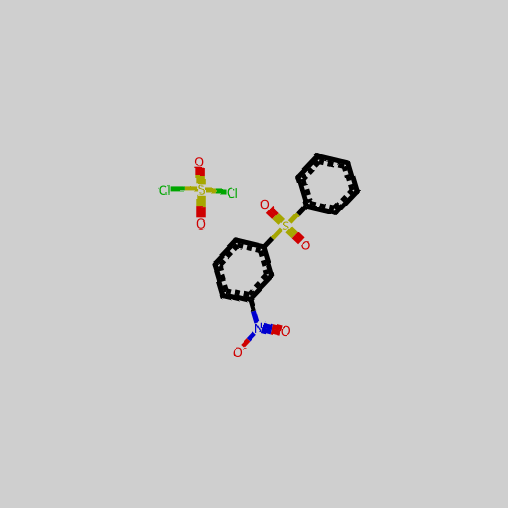 O=S(=O)(Cl)Cl.O=[N+]([O-])c1cccc(S(=O)(=O)c2ccccc2)c1